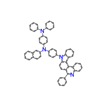 c1ccc(-c2nc3ccccc3c3c2ccc2c3c3ccccc3n2-c2ccc(N(c3ccc(N(c4ccccc4)c4ccccc4)cc3)c3ccc4ccccc4c3)cc2)cc1